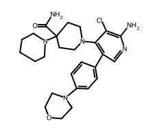 NC(=O)C1(N2CCCCC2)CCN(c2c(-c3ccc(N4CCOCC4)cc3)cnc(N)c2Cl)CC1